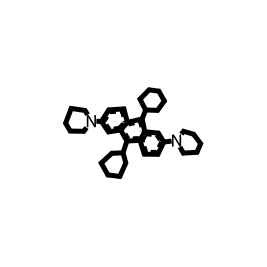 c1cc2c(C3CCCCC3)c3cc(N4CCCCC4)ccc3c(C3CCCCC3)c2cc1N1CCCCC1